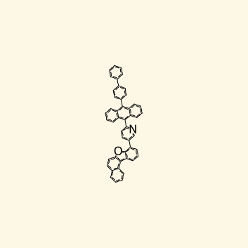 c1ccc(-c2ccc(-c3c4ccccc4c(-c4ccc(-c5cccc6c5oc5ccc7ccccc7c56)cn4)c4ccccc34)cc2)cc1